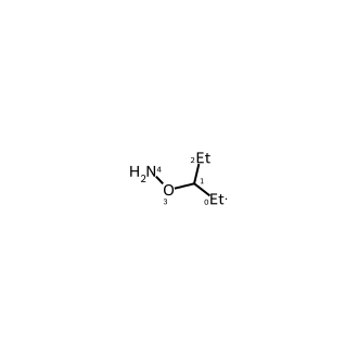 C[CH]C(CC)ON